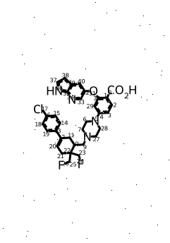 O=C(O)c1ccc(N2CCN(CC3CC(c4ccc(Cl)cc4)=CCC3(CF)CF)CC2)cc1Oc1cnc2[nH]ccc2c1